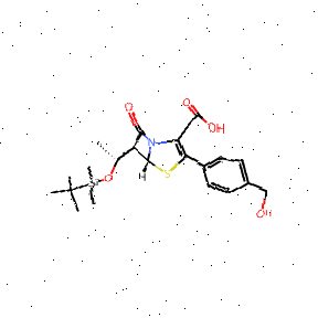 C[C@@H](O[Si](C)(C)C(C)(C)C)[C@H]1C(=O)N2C(C(=O)O)=C(c3ccc(CO)cc3)S[C@H]12